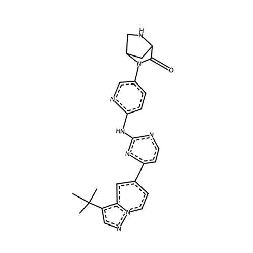 CC(C)(C)c1cnn2ccc(-c3ccnc(Nc4ccc(N5C(=O)C6CC5CN6)cn4)n3)cc12